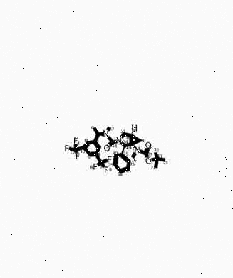 CC(c1cc(C(F)(F)F)cc(C(F)(F)F)c1)N(C)C(=O)N1C[C@H]2C[C@]2(N(C)C(=O)OC(C)(C)C)[C@H]1c1ccccc1